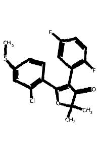 CSc1ccc(C2=C(c3cc(F)ccc3F)C(=O)C(C)(C)O2)c(Cl)c1